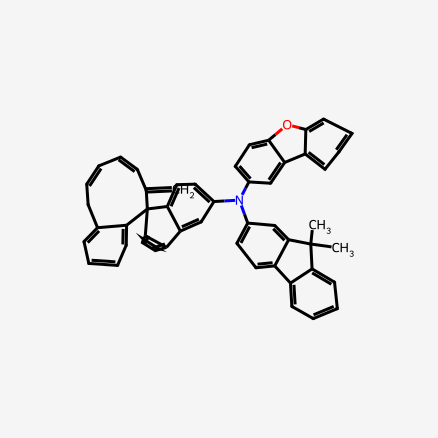 C=C1/C=C\C=C/Cc2ccccc2C12c1ccccc1-c1cc(N(c3ccc4c(c3)C(C)(C)c3ccccc3-4)c3ccc4oc5ccccc5c4c3)ccc12